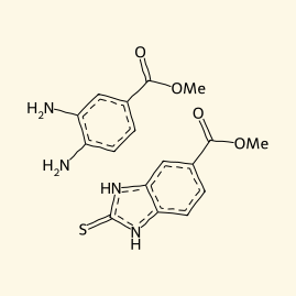 COC(=O)c1ccc(N)c(N)c1.COC(=O)c1ccc2[nH]c(=S)[nH]c2c1